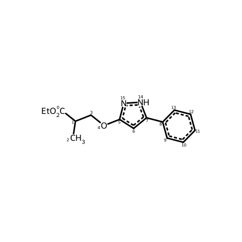 CCOC(=O)C(C)COc1cc(-c2ccccc2)[nH]n1